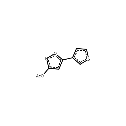 CC(=O)Oc1cc(-c2ccsc2)on1